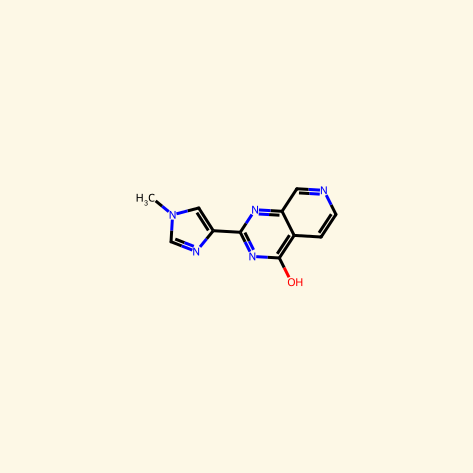 Cn1cnc(-c2nc(O)c3ccncc3n2)c1